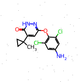 CC1(c2cc(Oc3c(Cl)cc(N)cc3Cl)n[nH]c2=O)CC1